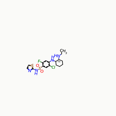 CCN[C@H]1CCCCC1Nc1cc(F)c(S(=O)(=O)Nc2nccs2)cc1Cl